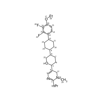 CCCC1=NC=C(C2CCC(C3CCC(c4ccc(OCC)c(F)c4F)CC3)CO2)CN1C